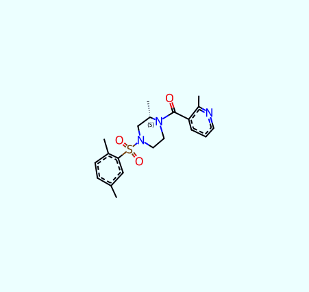 Cc1ccc(C)c(S(=O)(=O)N2CCN(C(=O)c3cccnc3C)[C@@H](C)C2)c1